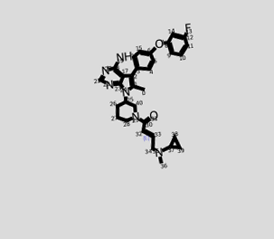 Cc1c(-c2ccc(Oc3cccc(F)c3)cc2)c2c(N)ncnc2n1C1CCCN(C(=O)/C=C/CN(C)C2CC2)C1